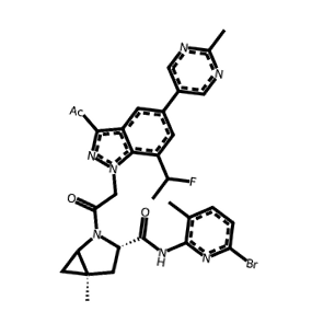 CC(=O)c1nn(CC(=O)N2C3C[C@]3(C)C[C@H]2C(=O)Nc2nc(Br)ccc2C)c2c(C(C)F)cc(-c3cnc(C)nc3)cc12